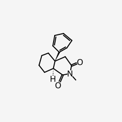 CN1C(=O)C[C@@]2(c3ccccc3)CCCC[C@@H]2C1=O